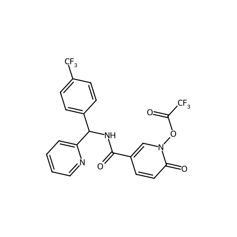 O=C(NC(c1ccc(C(F)(F)F)cc1)c1ccccn1)c1ccc(=O)n(OC(=O)C(F)(F)F)c1